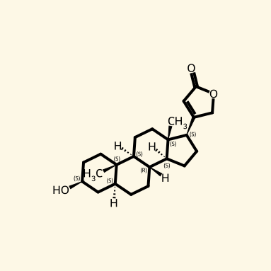 C[C@]12CC[C@H](O)C[C@@H]1CC[C@@H]1[C@@H]2CC[C@]2(C)[C@@H](C3=CC(=O)OC3)CC[C@@H]12